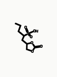 CCCC(CC1COC(=O)O1)S(=O)(=O)O